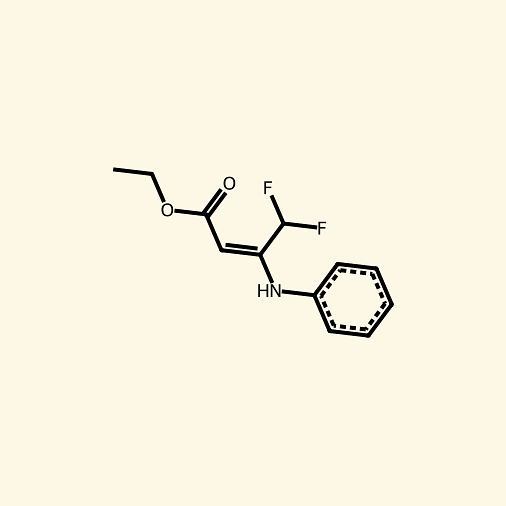 CCOC(=O)C=C(Nc1ccccc1)C(F)F